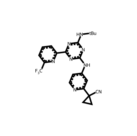 CC(C)(C)Nc1nc(Nc2ccnc(C3(C#N)CC3)c2)nc(-c2cccc(C(F)(F)F)n2)n1